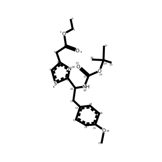 CCOC(=O)Cc1csc(C(Cc2ccc(OC)cc2)NC(=O)OC(C)(C)C)n1